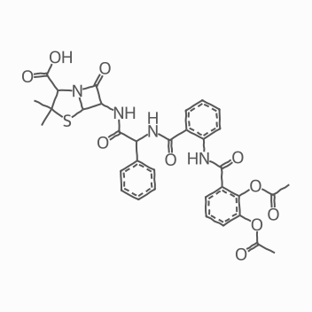 CC(=O)Oc1cccc(C(=O)Nc2ccccc2C(=O)NC(C(=O)NC2C(=O)N3C2SC(C)(C)C3C(=O)O)c2ccccc2)c1OC(C)=O